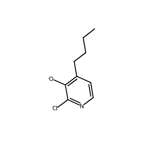 CCCCc1ccnc(Cl)c1[O]